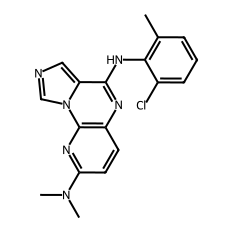 Cc1cccc(Cl)c1Nc1nc2ccc(N(C)C)nc2n2cncc12